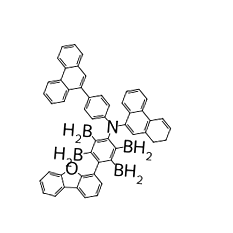 Bc1c(B)c(N(c2ccc(-c3cc4ccccc4c4ccccc34)cc2)c2cc3c(c4ccccc24)C=CCC3)c(B)c(B)c1-c1cccc2c1oc1ccccc12